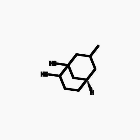 CC1C[C@H]2CCC(S)C(S)(C1)C2